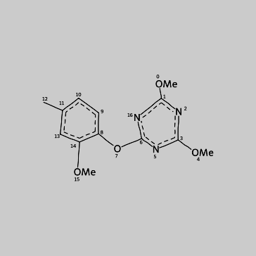 COc1nc(OC)nc(Oc2ccc(C)cc2OC)n1